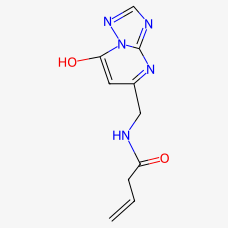 C=CCC(=O)NCc1cc(O)n2ncnc2n1